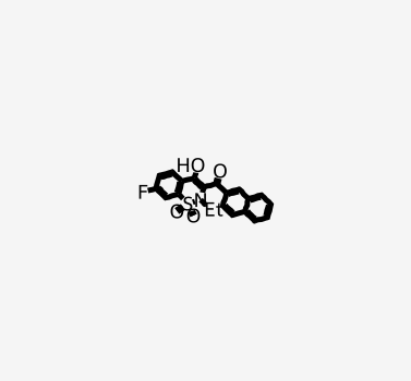 CCN1C(C(=O)c2ccc3ccccc3c2)=C(O)c2ccc(F)cc2S1(=O)=O